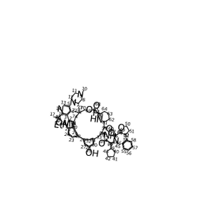 CCn1c(-c2cc(N3CCN(C)CC3)cnc2[C@H](C)OC)c2c3cc(ccc31)-c1cc(O)cc(c1)C[C@H](NC(=O)[C@H](C1CCCC1)N(C)C(=O)[C@H]1OCC[C@H]1c1ccccc1)C(=O)C1CCC[C@H](N1)C(=O)OCC(C)(C)C2